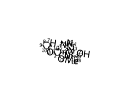 COc1cc(Oc2ccccc2)ccc1-c1nc(C2CC[C@@H]2O)n2ccnc(N)c12